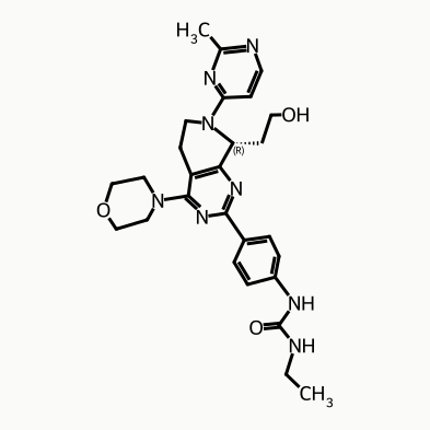 CCNC(=O)Nc1ccc(-c2nc3c(c(N4CCOCC4)n2)CCN(c2ccnc(C)n2)[C@@H]3CCO)cc1